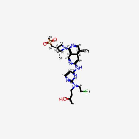 CC(O)CCN(CCF)c1nccc(Nc2cc3c(C(C)C)cnc(N4C[C@H](CS(C)(=O)=O)[C@H]4C)c3cn2)n1